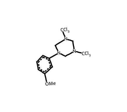 COc1cccc(N2CN(C(Cl)(Cl)Cl)CN(C(Cl)(Cl)Cl)C2)c1